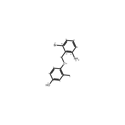 Cc1cc(O)ccc1OCc1c(N)cccc1Br